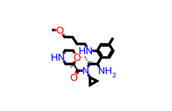 COCCCCNc1cc(C)ccc1C(N)[C@@H](C)N(C(=O)[C@H]1CNCCO1)C1CC1